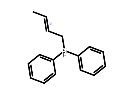 C/C=C/C[SiH](c1ccccc1)c1ccccc1